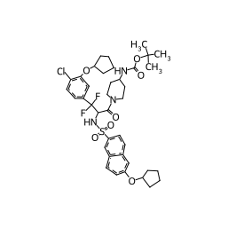 CC(C)(C)OC(=O)NC1CCN(C(=O)C(NS(=O)(=O)c2ccc3cc(OC4CCCC4)ccc3c2)C(F)(F)c2ccc(Cl)c(OC3CCCC3)c2)CC1